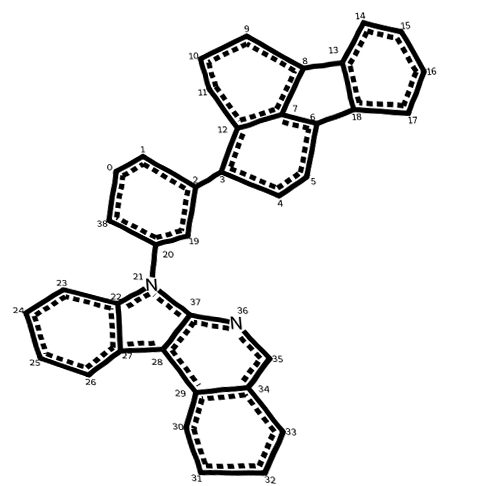 c1cc(-c2ccc3c4c(cccc24)-c2ccccc2-3)cc(-n2c3ccccc3c3c4ccccc4cnc32)c1